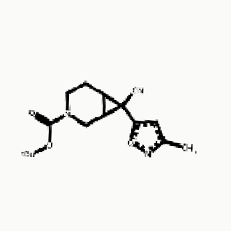 Cc1cc(C2(C#N)C3CCN(C(=O)OC(C)(C)C)CC32)on1